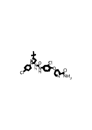 CC(C)(C)c1cc(NC(=O)Nc2ccc(Oc3ccnc(C(N)=O)c3)c(Cl)c2)n(-c2ccc(Cl)cc2)n1